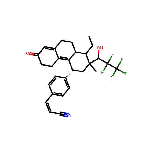 CCC1C2CCC3=CC(=O)CCC3=C2[C@@H](c2ccc(/C=C\C#N)cc2)CC1(C)C(O)C(F)(F)C(F)(F)F